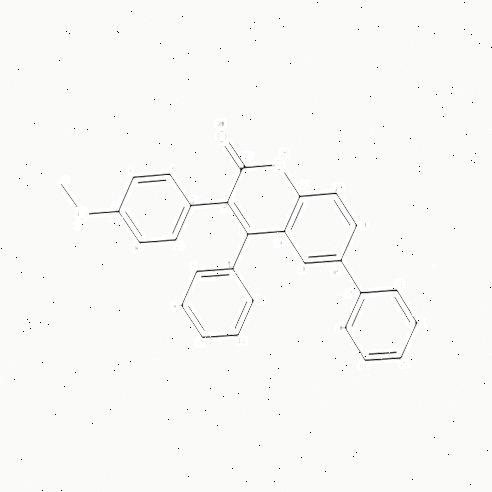 COc1ccc(-c2c(-c3ccccc3)c3cc(-c4ccccc4)ccc3oc2=O)cc1